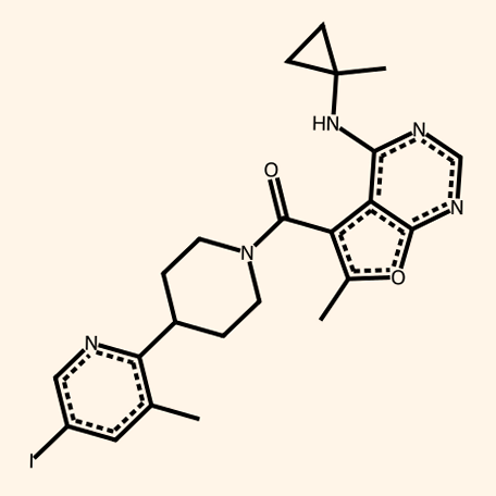 Cc1cc(I)cnc1C1CCN(C(=O)c2c(C)oc3ncnc(NC4(C)CC4)c23)CC1